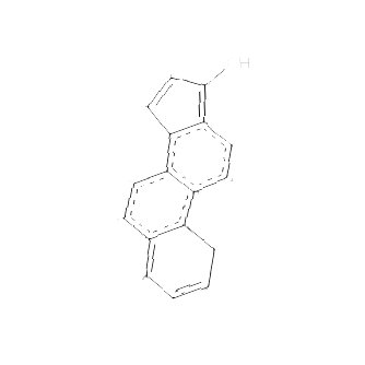 OC1=c2ccc3c4c(ccc3c2C=C1)=CC=CC4